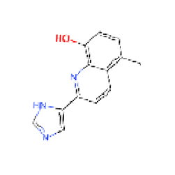 Cc1ccc(O)c2nc(-c3cnc[nH]3)ccc12